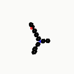 c1ccc(-c2ccc(N(c3ccc(-c4ccc(-c5ccc(-c6cc7ccccc7o6)cc5)cc4)cc3)c3ccc(-c4ccc5ccccc5c4)cc3)cc2)cc1